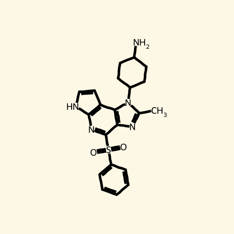 Cc1nc2c(S(=O)(=O)c3ccccc3)nc3[nH]ccc3c2n1C1CCC(N)CC1